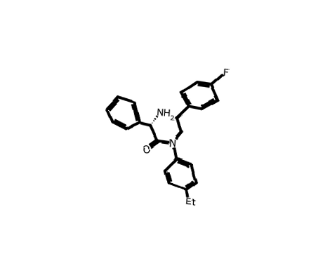 CCc1ccc(N(CCc2ccc(F)cc2)C(=O)[C@@H](N)c2ccccc2)cc1